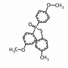 COc1ccc(P(=O)(Sc2ccc(C)cc2)c2ccc(OC)cc2)cc1